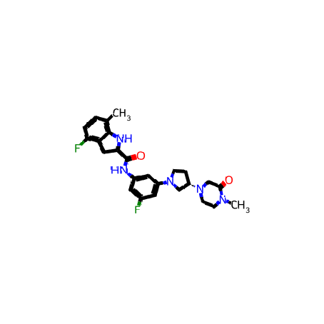 Cc1ccc(F)c2c1NC(C(=O)Nc1cc(F)cc(N3CC[C@H](N4CCN(C)C(=O)C4)C3)c1)C2